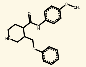 COc1ccc(NC(=O)C2CCNCC2COc2ccccc2)cc1